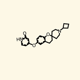 O=c1cc(Oc2ccc3c(c2)CCC2(CCN(C4CCC4)CC2)O3)cc[nH]1